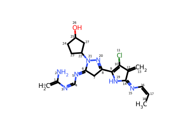 C=C(N)/N=C\N=C1/CC(C2=C(Cl)C(=C)/C(=N\C=C/C)N2)=NN1C1CCC(O)C1